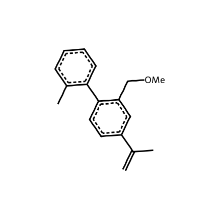 C=C(C)c1ccc(-c2ccccc2C)c(COC)c1